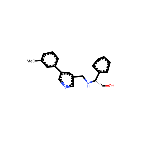 COc1cccc(-c2cncc(CN[C@@H](CO)c3ccccc3)c2)c1